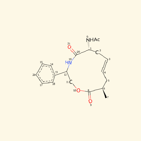 CC(=O)N[C@@H]1C/C=C/C[C@@H](C)C(=O)OCC(c2ccccc2)NC1=O